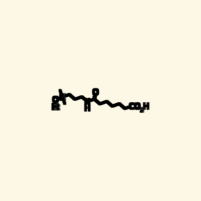 CCO[Si](C)(C)CCCNC(=O)CCCCCC(=O)O